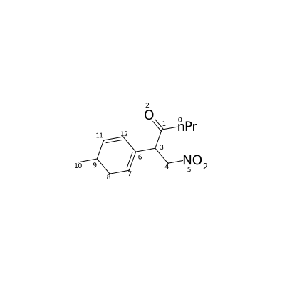 CCCC(=O)C(C[N+](=O)[O-])C1=CCC(C)C=C1